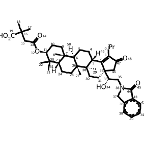 CC(C)C1=C2[C@H]3CC[C@@H]4[C@@]5(C)CC[C@H](OC(=O)CC(C)(C)C(=O)O)C(C)(C)[C@H]5CC[C@@]4(C)[C@]3(C)CC[C@@]2([C@@H](O)CN2Cc3ccccc3C2=O)CC1=O